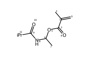 C=C(C)C(=O)OC(C)NC(=O)C(C)C